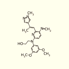 C=Nc1ccc(N(CCO)c2cc(OC)cc(OC)c2)nc1/C=C(\C)c1cnn(C)c1